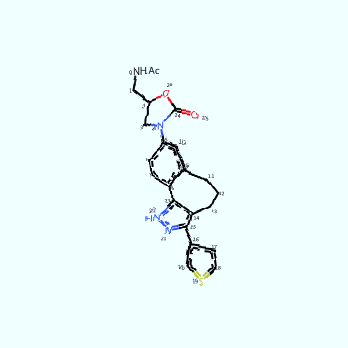 CC(=O)NCC1CN(c2ccc3c(c2)CCCc2c(-c4ccsc4)n[nH]c2-3)C(=O)O1